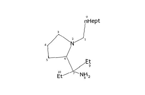 CCCCCCCCN1CCCC1C(N)(CC)CC